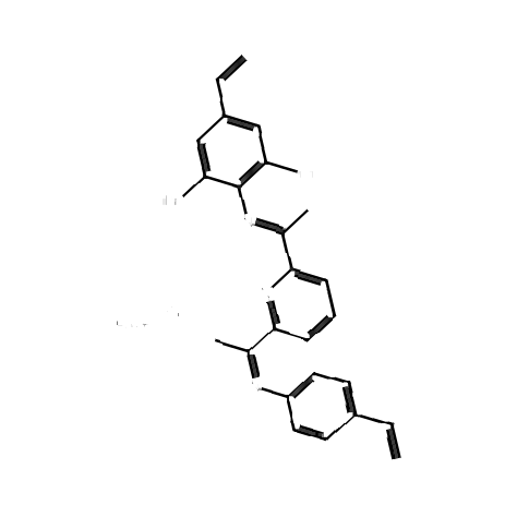 C=Cc1ccc(N=C(C)c2cccc(C(C)=Nc3c(C(C)C)cc(C=C)cc3C(C)C)n2)cc1.[Cl-].[Cl-].[Fe+2]